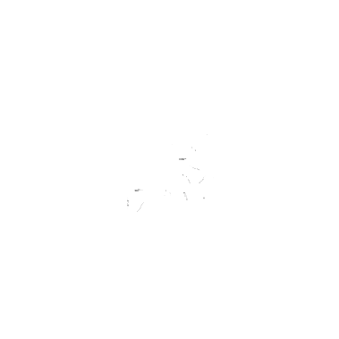 CC(C)NC(=O)c1cc(O)c(O)c(C(=O)NCc2ccc(F)cc2)n1